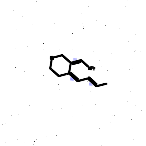 C/C=C/C=C1/CCOC/C1=C/CCC